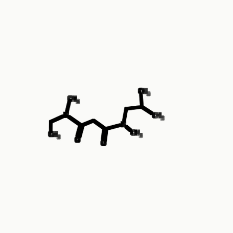 CCN(C)C(=O)CC(=O)N(C)CC(C)C